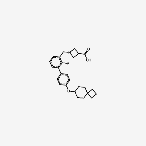 O=C(O)C1CN(Cc2cccc(-c3ccc(OC4CCC5(CCC5)CC4)cc3)c2F)C1